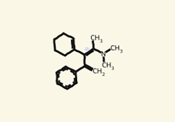 C=C(/C(C1=CCCCC1)=C(/C)N(C)C)c1ccccc1